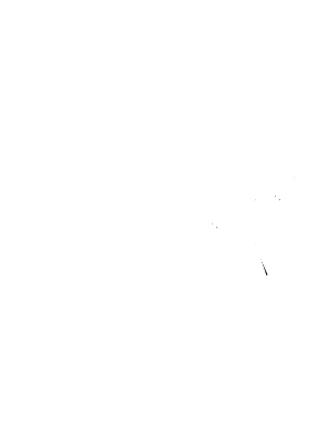 C[C@@](O)(C(F)F)[C@H](NCCCc1ccc(-c2cccs2)cc1)C(=O)NO